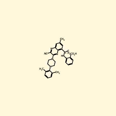 Cc1cc([C@@H](C)Nc2ccccc2C(=O)O)c2nc(N3CCN(c4c(C)cccc4C)CC3)c(C#N)nc2c1